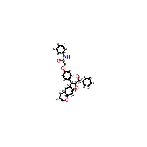 O=C(COc1ccc(-c2c(C(=O)c3ccccc3)oc3cc4c(cc23)CC=CO4)cc1)Nc1ccccc1